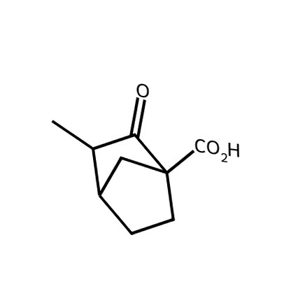 CC1C(=O)C2(C(=O)O)CCC1C2